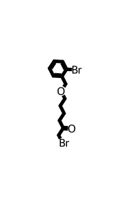 O=C(CBr)CCCCOCc1ccccc1Br